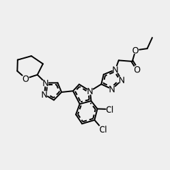 CCOC(=O)Cn1cc(-n2cc(-c3cnn(C4CCCCO4)c3)c3ccc(Cl)c(Cl)c32)nn1